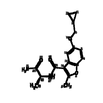 Cc1oc2ccc(OCC3CC3)cc2c1C(=O)N[C@@H](C)C(N)=O